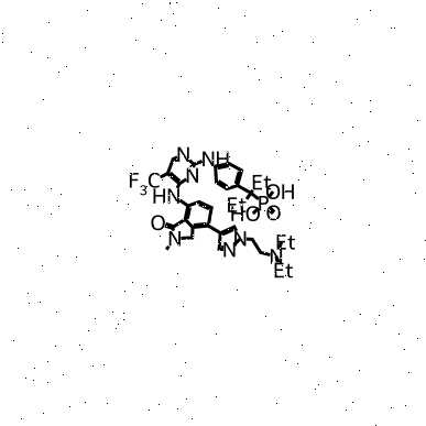 CCN(CC)CCn1cc(-c2ccc(Nc3nc(Nc4ccc(C(CC)(CC)P(=O)(O)O)cc4)ncc3C(F)(F)F)c3c2CN(C)C3=O)cn1